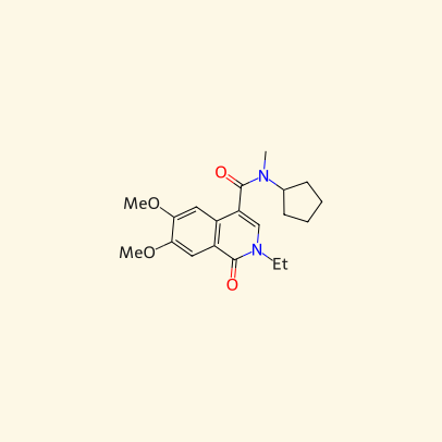 CCn1cc(C(=O)N(C)C2CCCC2)c2cc(OC)c(OC)cc2c1=O